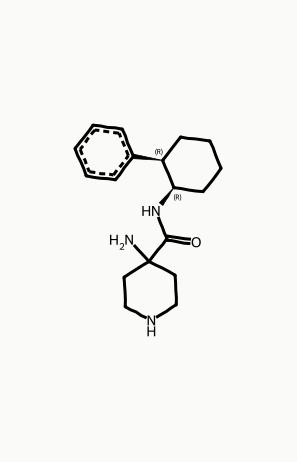 NC1(C(=O)N[C@@H]2CCCC[C@@H]2c2ccccc2)CCNCC1